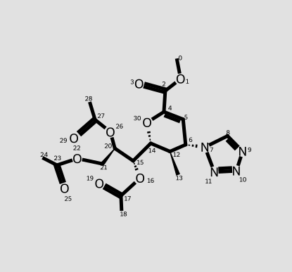 COC(=O)C1=C[C@H](n2cnnn2)[C@@H](C)[C@H]([C@H](OC(C)=O)[C@@H](COC(C)=O)OC(C)=O)O1